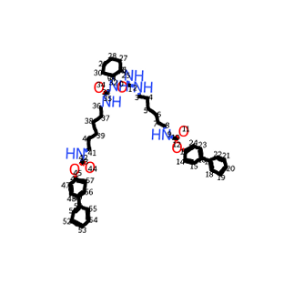 O=C(NCCCCCCNC(=O)Oc1ccc(-c2ccccc2)cc1)N[C@H]1CCCC[C@@H]1NC(=O)NCCCCCCNC(=O)Oc1ccc(-c2ccccc2)cc1